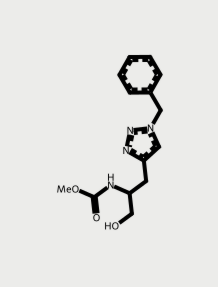 COC(=O)NC(CO)Cc1cn(Cc2ccccc2)nn1